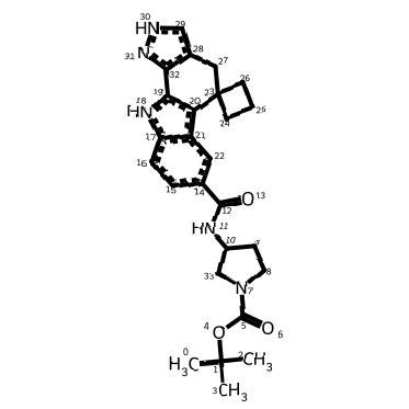 CC(C)(C)OC(=O)N1CCC(NC(=O)c2ccc3[nH]c4c(c3c2)C2(CCC2)Cc2c[nH]nc2-4)C1